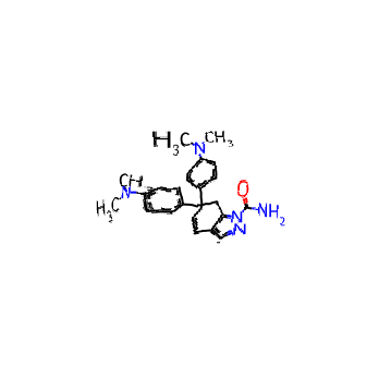 CN(C)c1ccc(C2(c3ccc(N(C)C)cc3)C=Cc3[c]nn(C(N)=O)c3C2)cc1